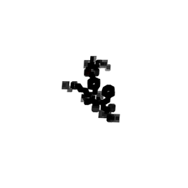 CCCCc1ncc(C(=O)NC(CC(=O)NO)Cc2ccccc2)n1Cc1ccc(C(=O)OC(C)C(F)(F)F)cc1